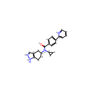 O=C(c1ccc(-c2ccccn2)cc1)N(C1CC1)C1CCc2[nH]ncc2C1